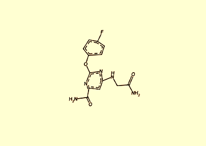 NC(=O)CNc1cc(C(N)=O)nc(Oc2ccc(F)cc2)n1